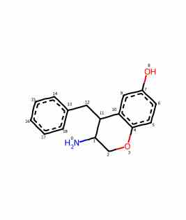 NC1COc2ccc(O)cc2C1Cc1ccccc1